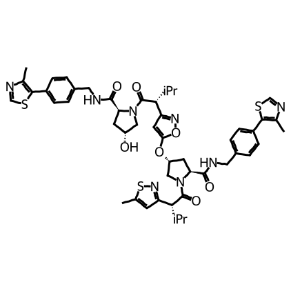 Cc1cc([C@H](C(=O)N2C[C@H](Oc3cc([C@H](C(=O)N4C[C@H](O)C[C@H]4C(=O)NCc4ccc(-c5scnc5C)cc4)C(C)C)no3)C[C@H]2C(=O)NCc2ccc(-c3scnc3C)cc2)C(C)C)ns1